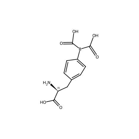 N[C@@H](Cc1ccc(B(C(=O)O)C(=O)O)cc1)C(=O)O